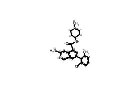 Cc1cccc(Cl)c1-c1cc(C(=O)NC2CCN(C)CC2)c2cc(N)ncc2c1